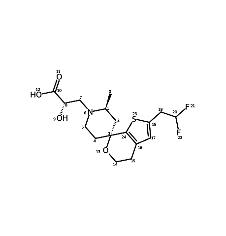 C[C@H]1C[C@@]2(CCN1C[C@H](O)C(=O)O)OCCc1cc(CC(F)F)sc12